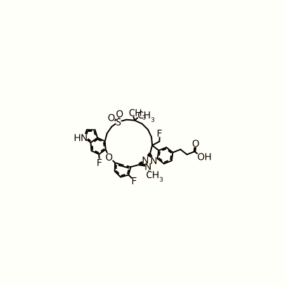 Cn1nc2nc1-c1cc(ccc1F)Oc1c(F)cc3[nH]ccc3c1CCS(=O)(=O)CC(C)(C)CCCC2(CF)c1cccc(CCC(=O)O)c1